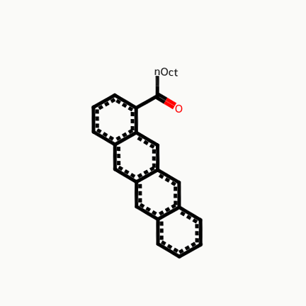 CCCCCCCCC(=O)c1cccc2cc3cc4ccccc4cc3cc12